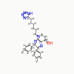 Cc1ccc(-c2nc3c(nc2-c2ccc(C)cc2)N(CCCCCCc2nnn[nH]2)CC[C@@H]3O)cc1